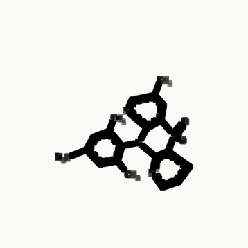 Cc1cc(C)c(N2c3ncccc3S(=O)(=O)c3cc(C)cnc32)c(C)c1